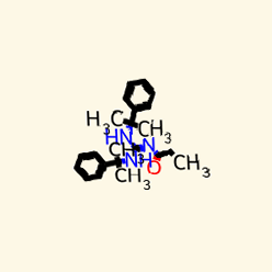 CCC(=O)N=C(NC(C)(C)c1ccccc1)NC(C)(C)c1ccccc1